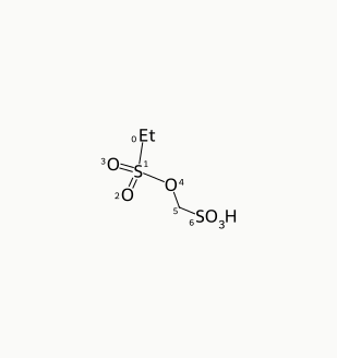 CCS(=O)(=O)OCS(=O)(=O)O